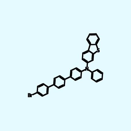 Brc1ccc(-c2ccc(-c3ccc(N(c4ccccc4)c4ccc5c(c4)sc4ccccc45)cc3)cc2)cc1